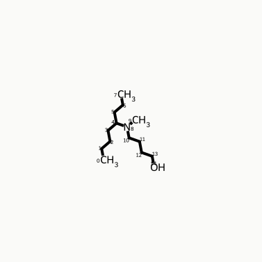 CCCCC(CCC)N(C)CCCCO